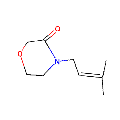 CC(C)=CCN1CCOCC1=O